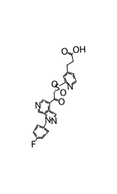 O=C(O)CCc1ccnc(S(=O)(=O)CC(=O)c2cncc3c2cnn3-c2ccc(F)cc2)c1